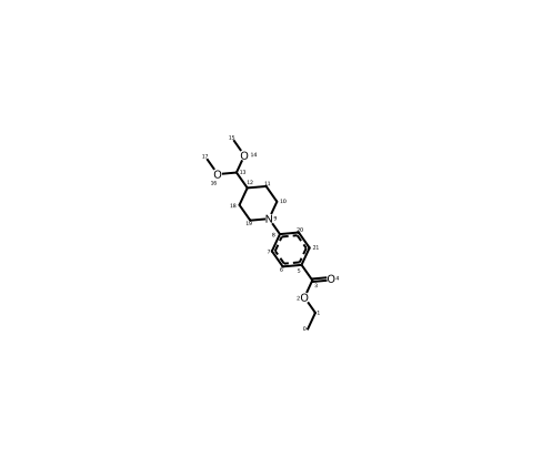 CCOC(=O)c1ccc(N2CCC(C(OC)OC)CC2)cc1